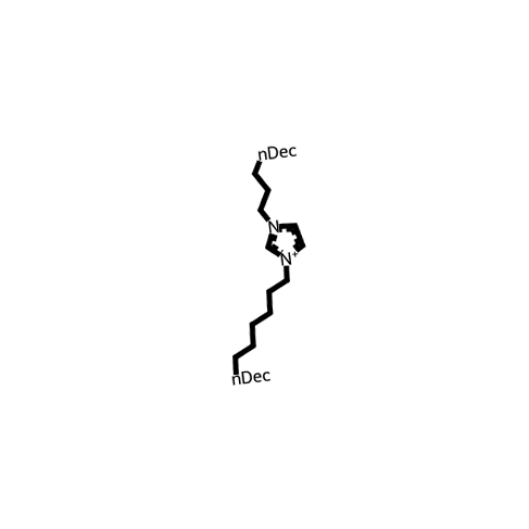 CCCCCCCCCCCCCCCC[n+]1ccn(CCCCCCCCCCCCC)c1